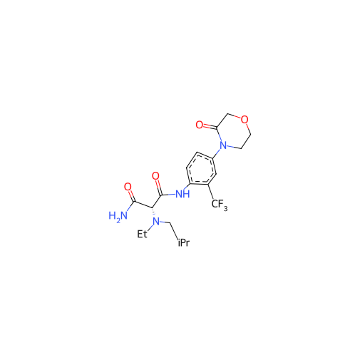 CCN(CC(C)C)[C@H](C(N)=O)C(=O)Nc1ccc(N2CCOCC2=O)cc1C(F)(F)F